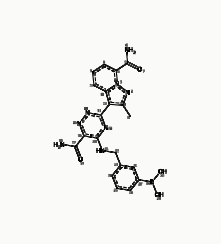 Cc1nn2c(C(N)=O)cccc2c1-c1nnc(C(N)=O)c(NCc2cccc(B(O)O)c2)n1